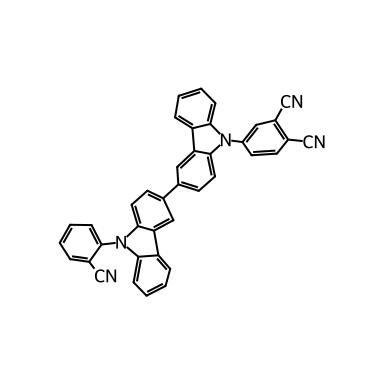 N#Cc1ccc(-n2c3ccccc3c3cc(-c4ccc5c(c4)c4ccccc4n5-c4ccccc4C#N)ccc32)cc1C#N